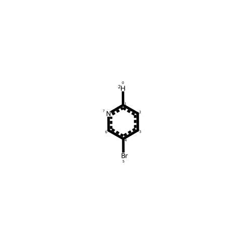 [2H]c1ccc(Br)cn1